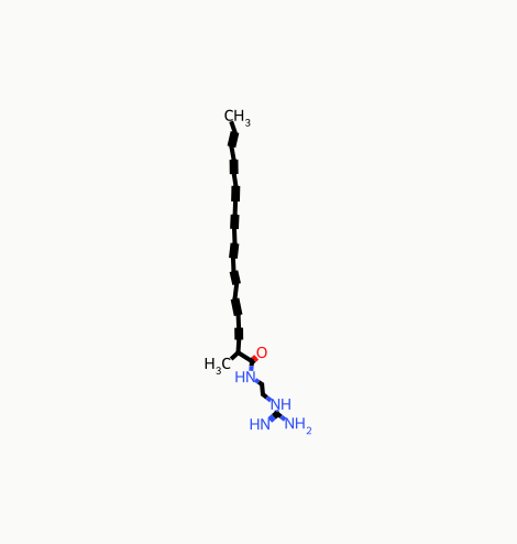 CC#CC#CC#CC#CC#CC#CC#CC#CC(C)C(=O)NCCNC(=N)N